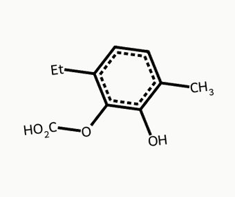 CCc1ccc(C)c(O)c1OC(=O)O